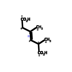 C/C(=C\C(C)C(=O)O)CC(=O)O